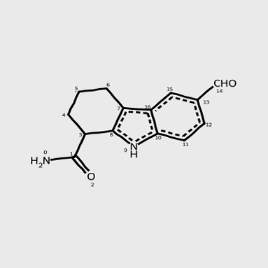 NC(=O)C1C[CH]Cc2c1[nH]c1ccc(C=O)cc21